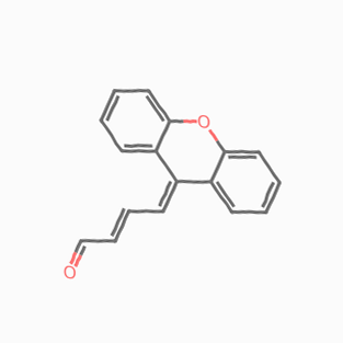 O=CC=CC=C1c2ccccc2Oc2ccccc21